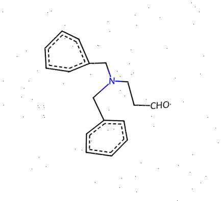 O=[C]CCN(Cc1ccccc1)Cc1ccccc1